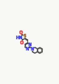 O=C1NC(=O)/C(=C\c2ccnc(N3CCc4ccccc4C3)n2)S1